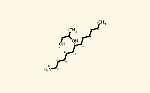 CC(O)CO.CCCCCCCCCCCCN